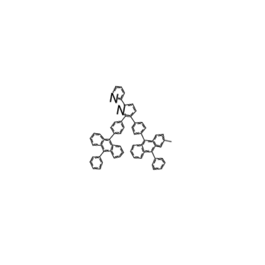 Cc1ccc2c(-c3ccc(-c4ccc(-c5ccccn5)nc4-c4ccc(-c5c6ccccc6c(-c6ccccc6)c6ccccc56)cc4)cc3)c3ccccc3c(-c3ccccc3)c2c1